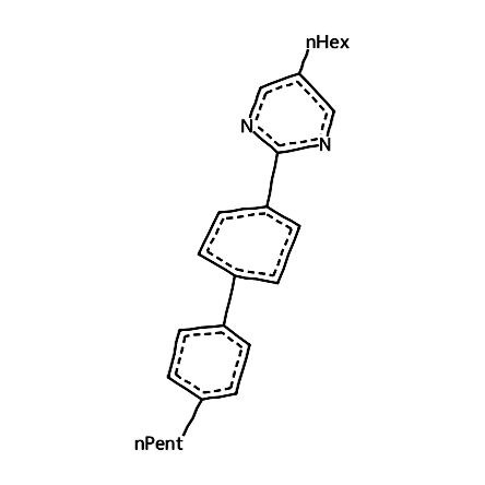 CCCCCCc1cnc(-c2ccc(-c3ccc(CCCCC)cc3)cc2)nc1